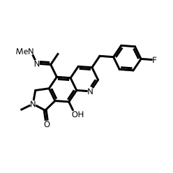 CN/N=C(\C)c1c2c(c(O)c3ncc(Cc4ccc(F)cc4)cc13)C(=O)N(C)C2